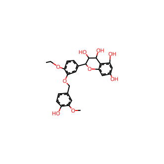 CCOc1ccc(C2Oc3cc(O)cc(O)c3C(O)C2O)cc1OCc1ccc(O)c(OC)c1